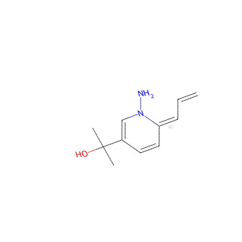 C=C/C=C1/C=CC(C(C)(C)O)=CN1N